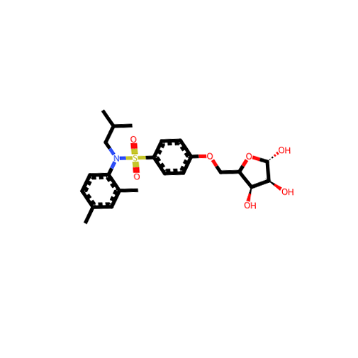 Cc1ccc(N(CC(C)C)S(=O)(=O)c2ccc(OCC3O[C@H](O)[C@@H](O)[C@H]3O)cc2)c(C)c1